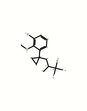 COc1c(F)cccc1C1(CC(C)C(F)(F)F)CC1